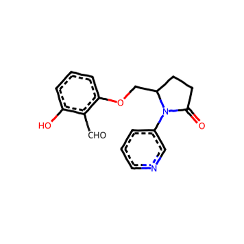 O=Cc1c(O)cccc1OCC1CCC(=O)N1c1cccnc1